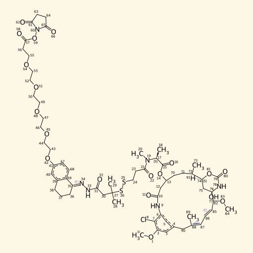 COc1cc2cc(c1Cl)NC(=O)CC(OC(=O)[C@H](C)N(C)C(=O)CCSSC(C)(C)CC(=O)N/N=C1\CCCc3cc(OCCOCCOCCOCCOCCC(=O)ON4C(=O)CCC4=O)ccc31)CCC(C)[C@@H]1CC(O)(NC(=O)O1)C(OC)/C=C/C=C(\C)C2